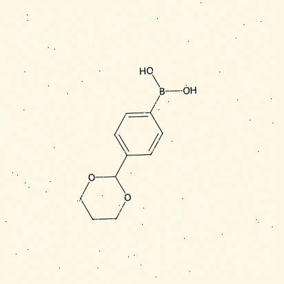 OB(O)c1ccc(C2OCCCO2)cc1